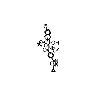 CCOc1cc(-c2nnc(C3CC3)o2)ccc1C(=O)NC[C@@H](O)C1Cc2ccc(OC)cc2CN1C(=O)OC(C)(C)C